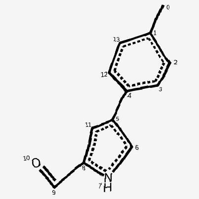 Cc1ccc(-c2c[nH]c(C=O)c2)cc1